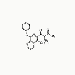 NC(C(=O)O)C(=O)c1nc(Sc2ccccc2)c2ccccc2c1O